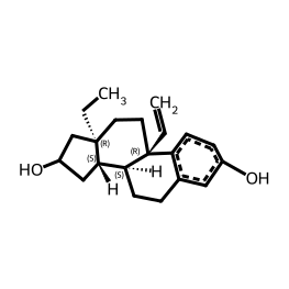 C=C[C@]12CC[C@]3(CC)CC(O)C[C@H]3[C@@H]1CCc1cc(O)ccc12